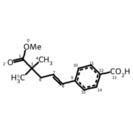 COC(=O)C(C)(C)CC=Cc1ccc(C(=O)O)cc1